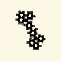 CC1CC(N(c2ccccc2)c2cccc3ccccc23)=CC=C1c1ccc(N(c2ccccc2)c2cccc3ccccc23)cc1